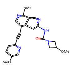 CNc1ncc(C#Cc2ccc(OC)cn2)c2cc(NC(=O)N3CC(OC)C3)ncc12